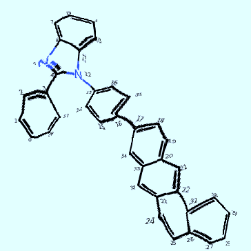 c1ccc(-c2nc3ccccc3n2-c2ccc(-c3ccc4cc5c(ccc6ccccc65)cc4c3)cc2)cc1